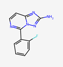 Nc1nc2ccnc(-c3ccccc3F)n2n1